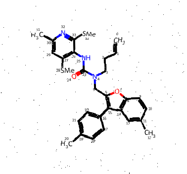 C=CCCN(Cc1oc2ccc(C)cc2c1-c1ccc(C)cc1)C(=O)Nc1c(SC)cc(C)nc1SC